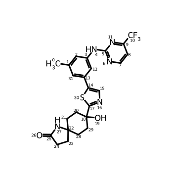 Cc1cc(Nc2nccc(C(F)(F)F)n2)cc(-c2cnc(C3(O)CCC4(CCC(=O)N4)CC3)s2)c1